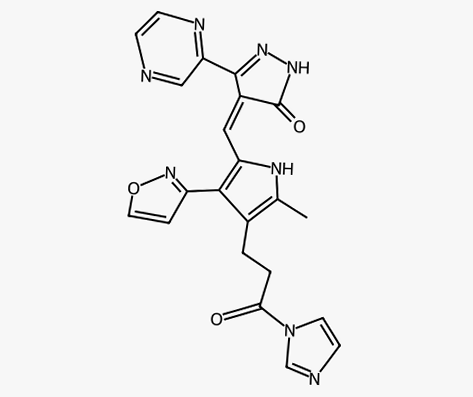 Cc1[nH]c(C=C2C(=O)NN=C2c2cnccn2)c(-c2ccon2)c1CCC(=O)n1ccnc1